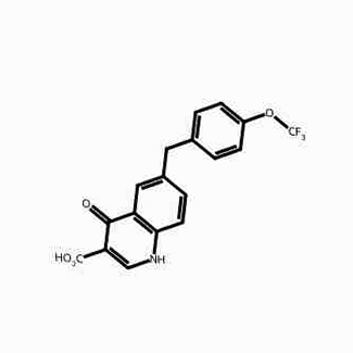 O=C(O)c1c[nH]c2ccc(Cc3ccc(OC(F)(F)F)cc3)cc2c1=O